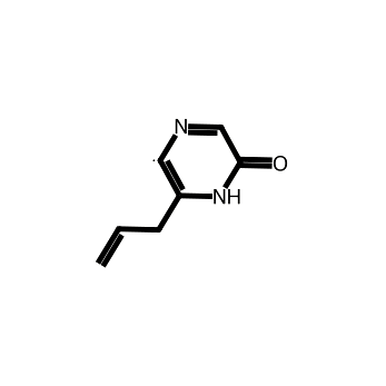 C=CCc1[c]ncc(=O)[nH]1